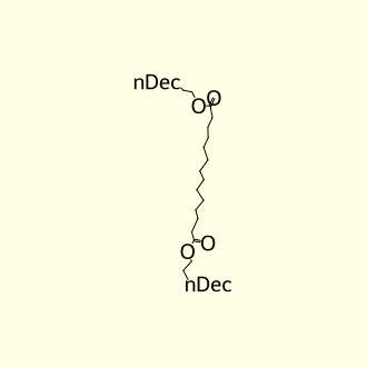 CCCCCCCCCCCCOC(=O)CCCCCCCCCCCCC(=O)OCCCCCCCCCCCC